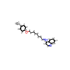 CCCCc1ccc(OCCCCCCCCNc2ccnc3ccccc23)cc1